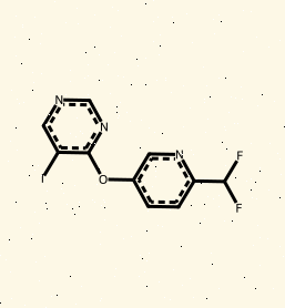 FC(F)c1ccc(Oc2ncncc2I)cn1